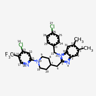 Cc1cc2nc(CC3CCN(c4cc(Cl)c(C(F)(F)F)cn4)CC3)n(Cc3ccc(Cl)cc3)c2cc1C